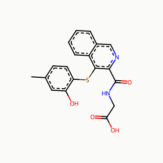 Cc1ccc(Sc2c(C(=O)NCC(=O)O)ncc3ccccc23)c(O)c1